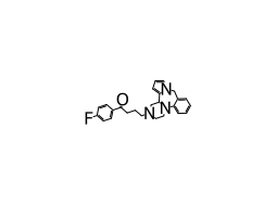 O=C(CCCN1CCN2c3ccccc3Cn3cccc3C2C1)c1ccc(F)cc1